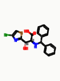 O=C(O)[C@@H](NC(c1ccccc1)c1ccccc1)[C@H](O)c1nc(Br)cs1